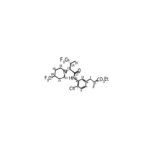 CCOC(=O)[C@@H](C)Cc1ccc(Cl)c(NC(=O)[C@@H]([C@@H](C)C(F)(F)F)N2CCC(C(F)(F)F)CC2)c1